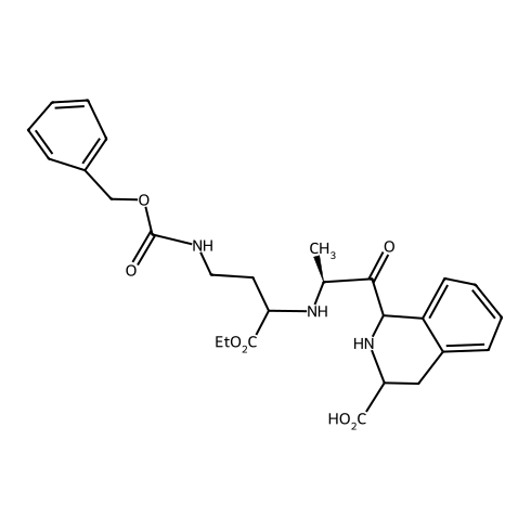 CCOC(=O)C(CCNC(=O)OCc1ccccc1)N[C@@H](C)C(=O)C1NC(C(=O)O)Cc2ccccc21